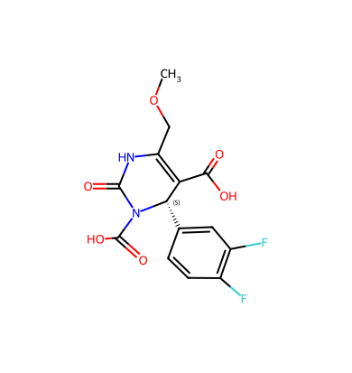 COCC1=C(C(=O)O)[C@H](c2ccc(F)c(F)c2)N(C(=O)O)C(=O)N1